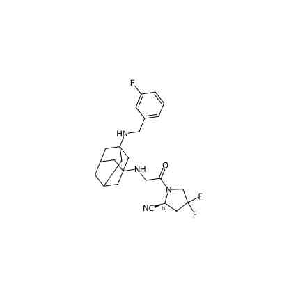 N#C[C@@H]1CC(F)(F)CN1C(=O)CNC12CC3CC(C1)CC(NCc1cccc(F)c1)(C3)C2